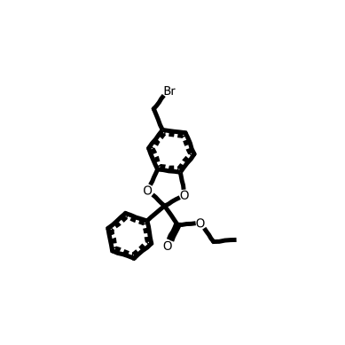 CCOC(=O)C1(c2ccccc2)Oc2ccc(CBr)cc2O1